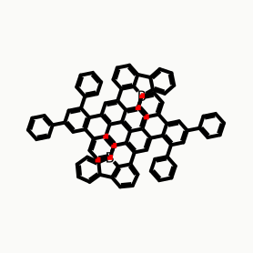 c1ccc(-c2cc(-c3ccccc3)c(-c3cc4c5c(cc6c(-c7c(-c8ccccc8)cc(-c8ccccc8)cc7-c7ccccc7)cc7c8c(cc3c5c68)B3c5ccccc5-c5cccc-7c53)B3c5ccccc5-c5cccc-4c53)c(-c3ccccc3)c2)cc1